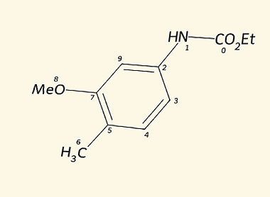 CCOC(=O)Nc1ccc(C)c(OC)c1